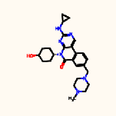 CN1CCN(Cc2ccc3c(c2)c(=O)n([C@H]2CC[C@H](O)CC2)c2nc(NC4CC4)ncc32)CC1